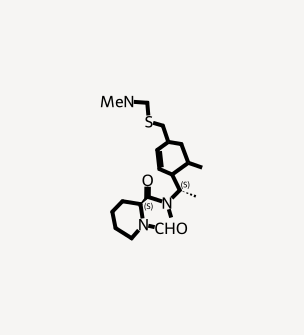 CNCSCC1C=CC([C@H](C)N(C)C(=O)[C@@H]2CCCCN2C=O)C(C)C1